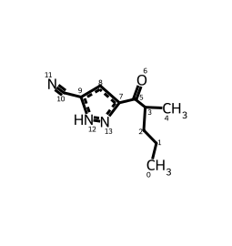 CCCC(C)C(=O)c1cc(C#N)[nH]n1